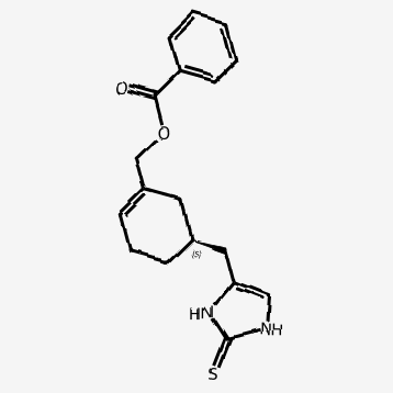 O=C(OCC1=CCC[C@H](Cc2c[nH]c(=S)[nH]2)C1)c1ccccc1